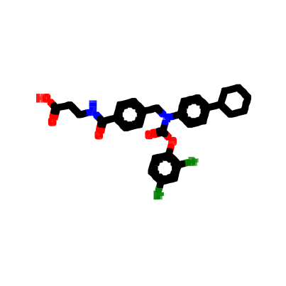 O=C(O)CCNC(=O)c1ccc(CN(C(=O)Oc2ccc(Br)cc2Br)c2ccc(C3CCCCC3)cc2)cc1